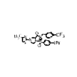 Cc1csc(N2CCN(S(=O)(=O)c3ccc(C(C)C)cc3)C(C(=O)NCc3ccc(C(F)(F)F)cc3)C2)n1